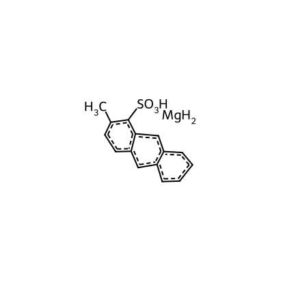 Cc1ccc2cc3ccccc3cc2c1S(=O)(=O)O.[MgH2]